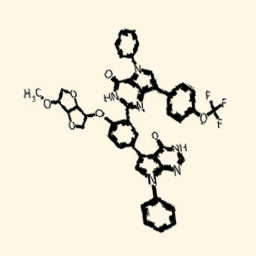 COC1COC2C(Oc3ccc(-c4cn(-c5ccccc5)c5nc[nH]c(=O)c45)cc3-c3nc4c(-c5ccc(OC(F)(F)F)cc5)cn(-c5ccccc5)c4c(=O)[nH]3)COC12